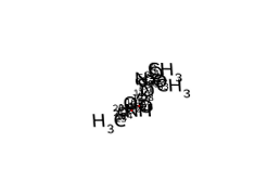 COc1cc2nccc(Oc3ccc4c(C(=O)Nc5cccc(C)c5)coc4c3)c2cc1OC